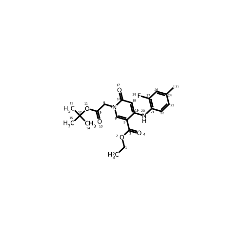 CCOC(=O)c1cn(CC(=O)OC(C)(C)C)c(=O)cc1Nc1ccc(I)cc1F